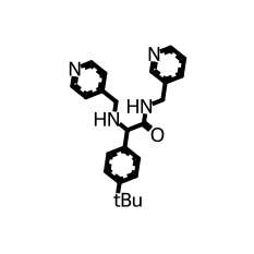 CC(C)(C)c1ccc(C(NCc2ccncc2)C(=O)NCc2cccnc2)cc1